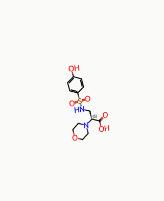 O=C(O)[C@H](CNS(=O)(=O)c1ccc(O)cc1)N1CCOCC1